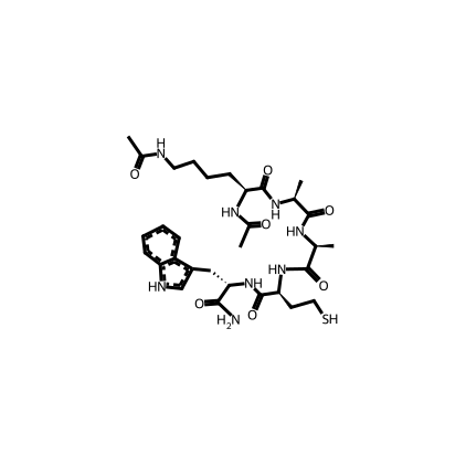 CC(=O)NCCCC[C@H](NC(C)=O)C(=O)N[C@@H](C)C(=O)N[C@@H](C)C(=O)N[C@@H](CCS)C(=O)N[C@@H](Cc1c[nH]c2ccccc12)C(N)=O